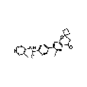 Cc1cnccc1NC(=O)c1ccc(-c2cc3c(cc2C)C(=O)CC2(CCC2)O3)cc1